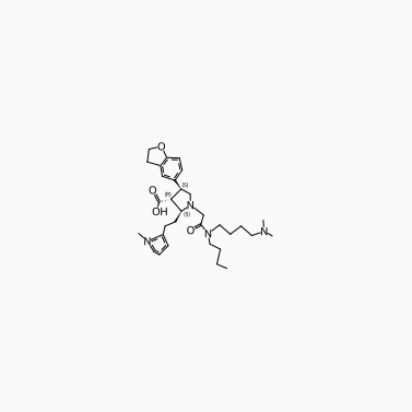 CCCCN(CCCCN(C)C)C(=O)CN1C[C@H](c2ccc3c(c2)CCO3)[C@@H](C(=O)O)[C@@H]1CCc1cccn1C